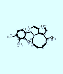 C=C/C1=C(\C=C/C)N(Cc2ccc(C)c(N)c2C)C/C=C\C=C/C1C